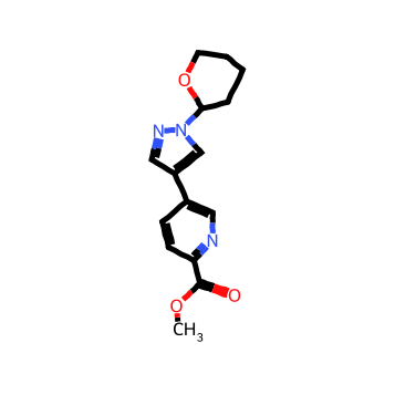 COC(=O)c1ccc(-c2cnn(C3CCCCO3)c2)cn1